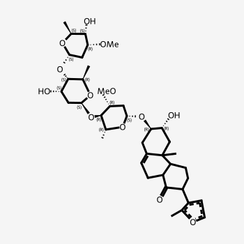 CO[C@@H]1C[C@H](O[C@H]2[C@@H](O)C[C@H](O[C@@H]3[C@@H](C)O[C@@H](O[C@@H]4CC5=CCC6C(=O)C(c7ccoc7C)CCC6C5(C)C[C@H]4O)C[C@H]3OC)O[C@@H]2C)O[C@@H](C)[C@@H]1O